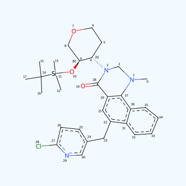 CN1CN([C@H]2CCOC[C@@H]2O[Si](C)(C)C(C)(C)C)C(=O)c2cc(Cc3ccc(Cl)nc3)c3ccccc3c21